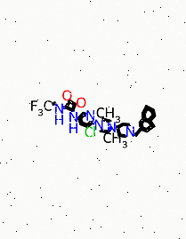 C[C@@H]1CN(c2ncc(NC3C(=O)C(=O)C3NCC(F)(F)F)cc2Cl)[C@@H](C)CN1C1CCN(Cc2ccc3ccccc3c2)CC1